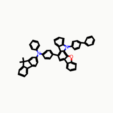 CC1(C)c2ccccc2-c2ccc(N(c3ccccc3)c3ccc(-c4cc5c6ccccc6oc5c5c4c4ccccc4n5-c4ccc(-c5ccccc5)cc4)cc3)cc21